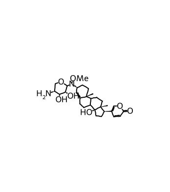 CON(C1OC[C@H](N)[C@H](O)[C@@H]1O)[C@@H]1C=C2CCC3C(CC[C@]4(C)[C@@H](c5ccc(=O)oc5)CC[C@]34O)[C@@]2(C)CC1